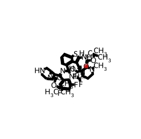 CN1CC[C@H](C(F)F)[C@](C)(COC2(c3cccc4sc(NC(=O)OC(C)(C)C)c(C#N)c34)N=C(C3CC4CNCC3N4C(=O)OC(C)(C)C)c3cc(F)cc(F)c3N2)C1